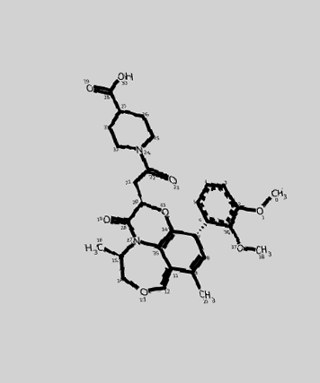 COc1cccc([C@@H]2C=C(C)C3=COC[C@@H](C)N4C(=O)[C@@H](CC(=O)N5CCC(C(=O)O)CC5)OC2=C34)c1OC